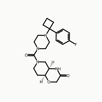 O=C1CO[C@H]2CCN(C(=O)N3CCN(C4(c5ccc(F)cc5)CCC4)CC3)C[C@H]2N1